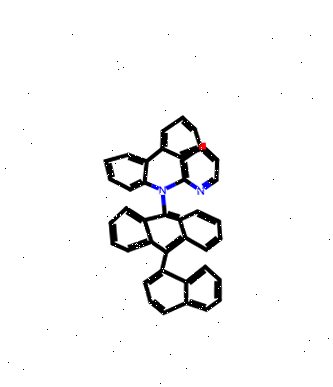 c1ccc(-c2ccccc2N(c2ccccn2)c2c3ccccc3c(-c3cccc4ccccc34)c3ccccc23)cc1